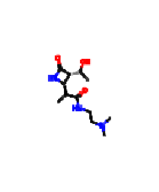 CC(C(=O)NCCN(C)C)[C@H]1NC(=O)[C@@H]1C(C)O